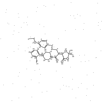 CCOc1ccc(CCCC(C(=O)N2CCN(c3ccccc3F)CC2)C2OC(C)(C)OC2=O)cc1